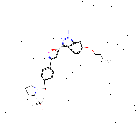 COCCOc1ccc2c(-c3cc(-c4ccc(C(=O)N5CCC[C@@H]5C(C)(C)O)cc4)no3)n[nH]c2c1